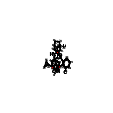 O=C(Nc1ccc(F)cc1)N1C2CC[C@H]1CC(OCc1c(-c3c(Cl)cccc3Cl)noc1C1CC1)C2